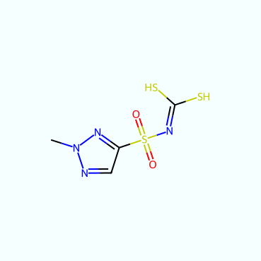 Cn1ncc(S(=O)(=O)N=C(S)S)n1